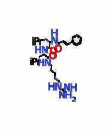 CC(C)CC(NC(=O)/C=C/c1ccccc1)C(=O)NC(CC(C)C)C(=O)NCCCCCNC(=N)N